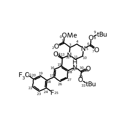 COC(=O)C1CN(C(=O)OC(C)(C)C)CCN1C(=O)c1cc(-c2cc(C(F)(F)F)ccc2F)ccc1NC(=O)OC(C)(C)C